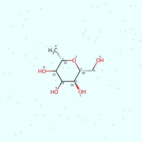 C[C@@H]1O[C@H](CO)[C@@H](O)C(O)C1O